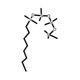 [CH2]CCCCCCC[Si](C)(C)O[Si](C)(C)O[Si](C)(C)O[Si](C)(C)C